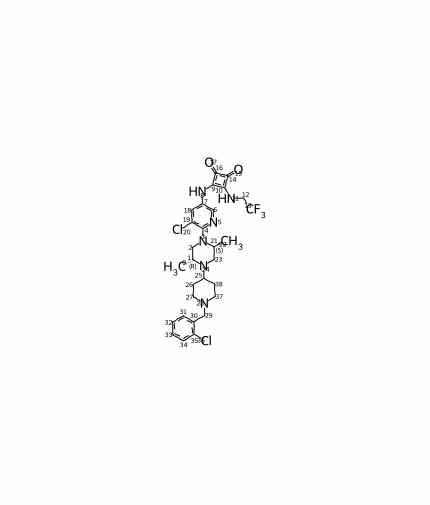 C[C@@H]1CN(c2ncc(Nc3c(NCC(F)(F)F)c(=O)c3=O)cc2Cl)[C@@H](C)CN1C1CCN(Cc2ccccc2Cl)CC1